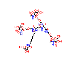 CC(=O)NC1C(OCCOCCNC(=O)CCC(NC(=O)CCC(NC(=O)CCCCCCCCCNC(=O)C2C[C@@H](O)[C@H](CO)O2)C(=O)NCCOCCOC2O[C@H](CO)C(O)C(O)C2NC(C)=O)C(=O)NCCOCCOC2OC(CO)C(O)C(O)C2NC(C)=O)OC(CO)C(O)C1O